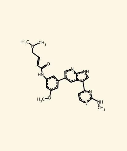 CNc1nccc(-c2c[nH]c3ncc(-c4cc(NC(=O)/C=C/CN(C)C)cc(OC)c4)cc23)n1